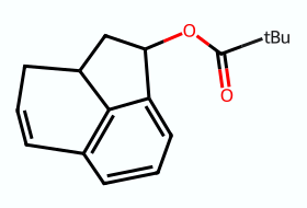 CC(C)(C)C(=O)OC1CC2CC=Cc3cccc1c32